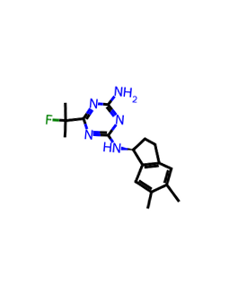 Cc1cc2c(cc1C)[C@@H](Nc1nc(N)nc(C(C)(C)F)n1)CC2